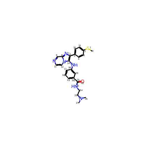 CSc1ccc(-c2nc3cnccn3c2Nc2cccc(C(=O)NCCN(C)C)c2)cc1